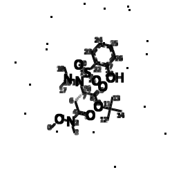 CON(C)C(=O)C[C@@H](C(=O)OC(C)(C)C)N(N(C)C)S(=O)(=O)c1ccccc1O